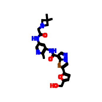 Cc1ncc(NC(=O)CN2CC(C)(C)C2)cc1NC(=O)c1cnn2cc(-c3ccc(CO)o3)sc12